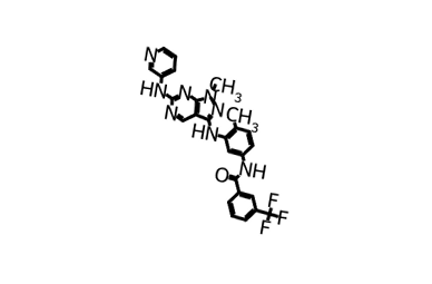 Cc1ccc(NC(=O)c2cccc(C(F)(F)F)c2)cc1Nc1nn(C)c2nc(Nc3cccnc3)ncc12